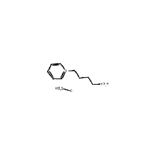 O=S(=O)(O)CCCC[n+]1ccccc1.O=S(=O)([O-])O